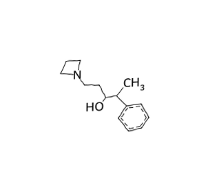 CC(c1ccccc1)C(O)CCN1CCC1